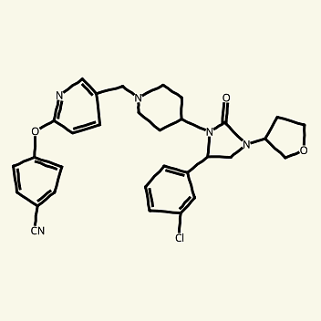 N#Cc1ccc(Oc2ccc(CN3CCC(N4C(=O)N(C5CCOC5)CC4c4cccc(Cl)c4)CC3)cn2)cc1